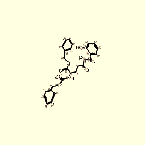 O=C(CCC(NC(=O)OCc1ccccc1)C(=O)OCc1ccccc1)NNc1ccccc1O